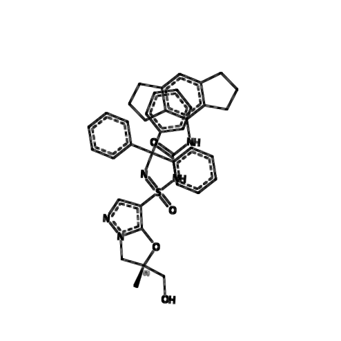 C[C@@]1(CO)Cn2ncc(S(=O)(=NC(c3ccccc3)(c3ccccc3)c3ccccc3)NC(=O)Nc3c4c(cc5c3CCC5)CCC4)c2O1